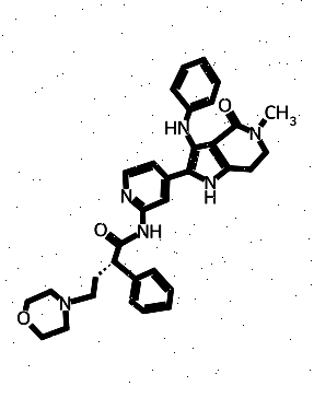 CN1CCc2[nH]c(-c3ccnc(NC(=O)[C@@H](CCN4CCOCC4)c4ccccc4)c3)c(Nc3ccccc3)c2C1=O